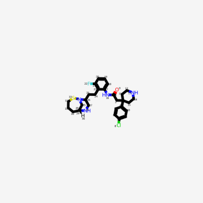 O=C(CC1(c2ccc(Cl)cc2)CCNCC1)Nc1cccc(F)c1CCC1CN[C@@H]2CCCSN1C2